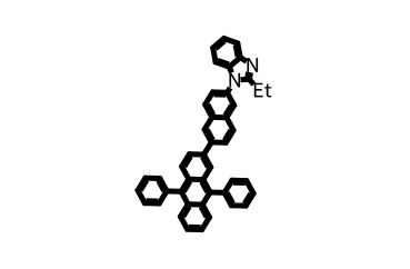 CCc1nc2ccccc2n1-c1ccc2cc(-c3ccc4c(-c5ccccc5)c5ccccc5c(-c5ccccc5)c4c3)ccc2c1